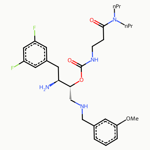 CCCN(CCC)C(=O)CCNC(=O)O[C@H](CNCc1cccc(OC)c1)[C@@H](N)Cc1cc(F)cc(F)c1